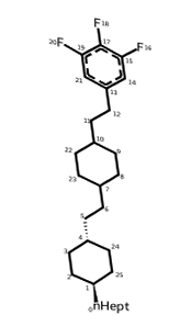 CCCCCCC[C@H]1CC[C@H](CCC2CCC(CCc3cc(F)c(F)c(F)c3)CC2)CC1